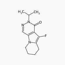 CC(C)n1ncc2c(c(F)c3n2CCCC3)c1=O